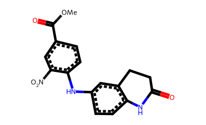 COC(=O)c1ccc(Nc2ccc3c(c2)CCC(=O)N3)c([N+](=O)[O-])c1